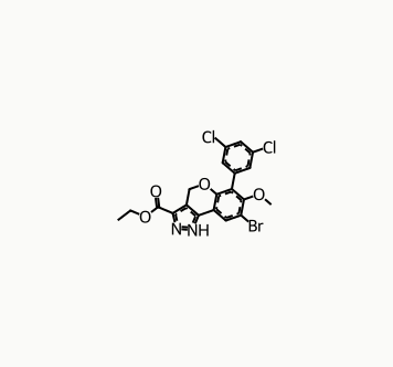 CCOC(=O)c1n[nH]c2c1COc1c-2cc(Br)c(OC)c1-c1cc(Cl)cc(Cl)c1